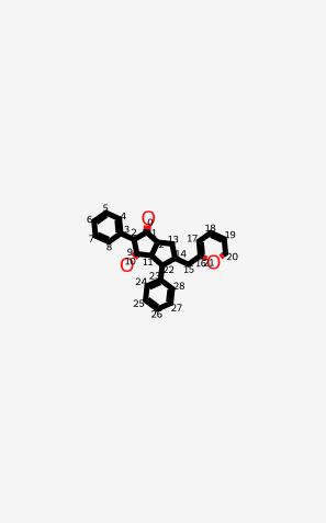 O=C1C(c2ccccc2)C(=O)C2C1CC(CC1=CC=CCO1)C2c1ccccc1